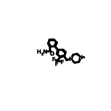 CN1CCN(Cc2ccc(-c3ccccc3C(N)=O)cc2C(F)(F)F)CC1